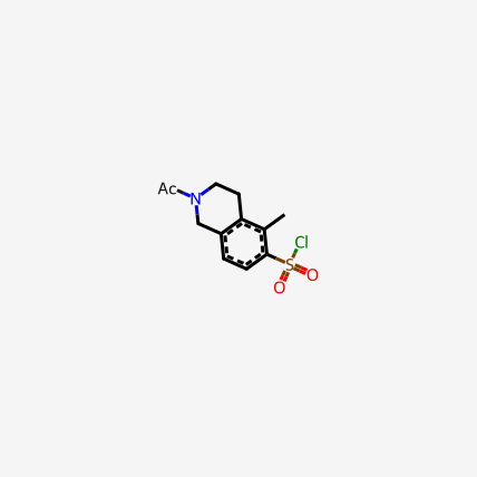 CC(=O)N1CCc2c(ccc(S(=O)(=O)Cl)c2C)C1